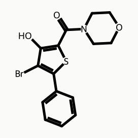 O=C(c1sc(-c2ccccc2)c(Br)c1O)N1CCOCC1